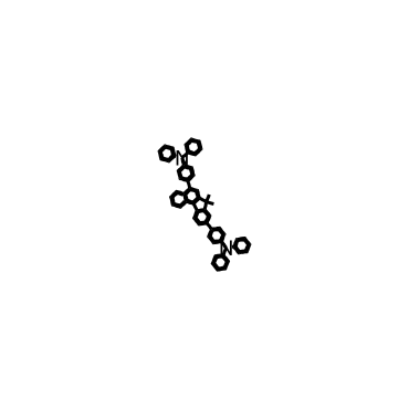 CC1(C)c2cc(-c3ccc(N(c4ccccc4)c4ccccc4)cc3)ccc2-c2c1cc(-c1ccc(N(c3ccccc3)c3ccccc3)cc1)c1ccccc21